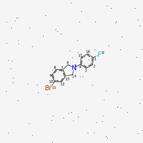 Fc1ccc(N2Cc3ccc(Br)cc3C2)cc1